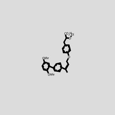 CCOC(Cc1ccc(OCC=C(C)c2ccc(-c3cc(OC)ccc3OC)cc2)cc1)C(=O)O